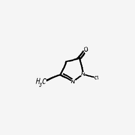 CC1=NN(Cl)C(=O)C1